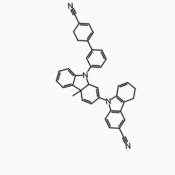 CC12C=CC(n3c4c(c5cc(C#N)ccc53)CCC=C4)=CC1N(c1cccc(C3=CC=C(C#N)CC3)c1)c1ccccc12